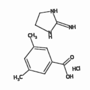 Cc1cc(C)cc(C(=O)O)c1.Cl.N=C1NCCN1